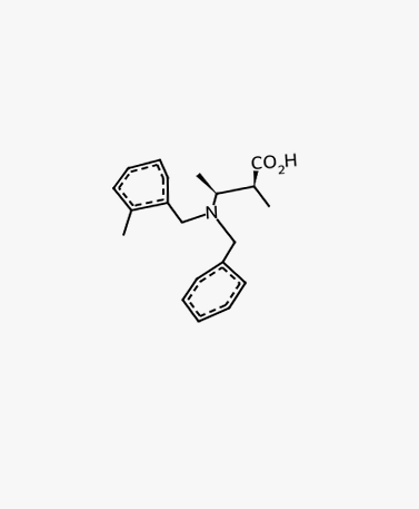 Cc1ccccc1CN(Cc1ccccc1)[C@@H](C)[C@H](C)C(=O)O